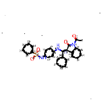 CC(=O)N1C(=O)/C(=C(\Nc2ccc(NS(=O)(=O)c3ccccc3)cc2)c2ccccc2)c2ccccc21